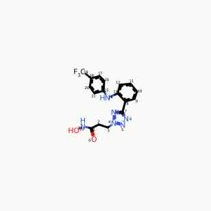 O=C(CCn1nnc(-c2ccccc2Nc2ccc(C(F)(F)F)cc2)n1)NO